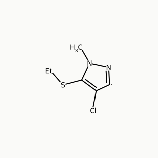 CCSc1c(Cl)[c]nn1C